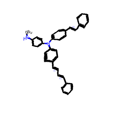 CCCCNc1ccc(N(c2ccc(/C=C/C=C/c3ccccc3)cc2)c2ccc(/C=C/c3ccccc3)cc2)cc1